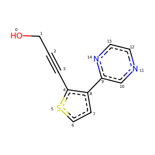 OCC#Cc1sccc1-c1cnccn1